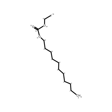 CCCCCCCCCCCOC(=O)OCI